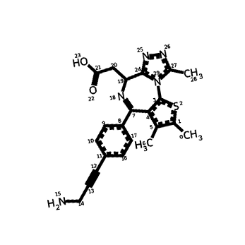 Cc1sc2c(c1C)C(c1ccc(C#CCN)cc1)=NC(CC(=O)O)c1nnc(C)n1-2